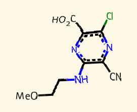 COCCNc1nc(C(=O)O)c(Cl)nc1C#N